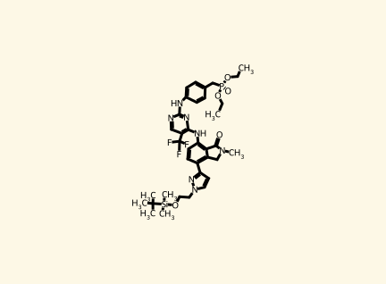 CCOP(=O)(Cc1ccc(Nc2ncc(C(F)(F)F)c(Nc3ccc(-c4ccn(CCO[Si](C)(C)C(C)(C)C)n4)c4c3C(=O)N(C)C4)n2)cc1)OCC